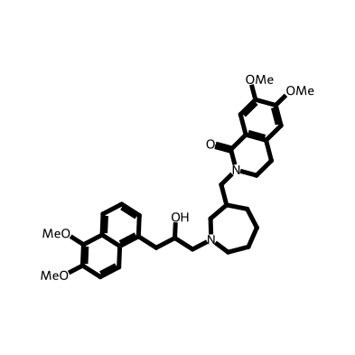 COc1cc2c(cc1OC)C(=O)N(CC1CCCCN(CC(O)Cc3cccc4c(OC)c(OC)ccc34)C1)CC2